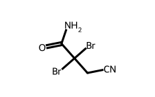 N#CCC(Br)(Br)C(N)=O